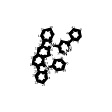 c1ccc(-c2cc(-n3c4ccccc4c4cc5ccc6c7ccccc7n(-c7ccccc7)c6c5cc43)cnn2)cc1